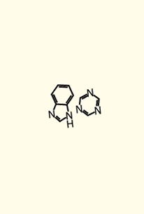 c1ccc2[nH]cnc2c1.c1ncncn1